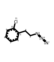 [N-]=[N+]=NCCc1ccccc1Cl